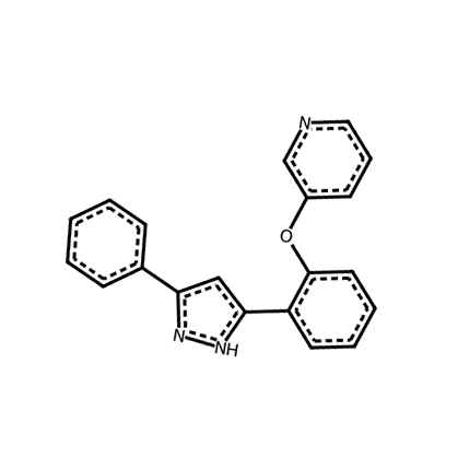 c1ccc(-c2cc(-c3ccccc3Oc3cccnc3)[nH]n2)cc1